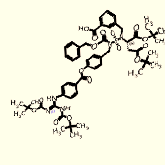 CC(C)(C)OC(=O)C[C@@H](C(=O)OC(C)(C)C)N(Cc1cccc(C(=O)O)c1)S(=O)(=O)N(Cc1ccc(OC(=O)c2ccc(N/C(=N\C(=O)OC(C)(C)C)NC(=O)OC(C)(C)C)cc2)cc1)C(=O)OCc1ccccc1